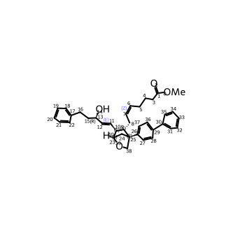 COC(=O)CCC/C=C\C[C@H]1[C@H](/C=C/[C@H](O)CCc2ccccc2)[C@@H]2C[C@@]1(c1ccc(-c3ccccc3)cc1)CO2